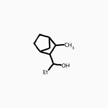 CCC(O)C1C2CCC(C2)C1C